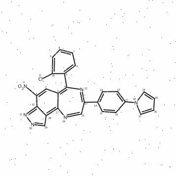 O=[N+]([O-])c1cc2c(-c3ccccc3Cl)nc(-c3ccc(-n4cccc4)cc3)cnc2c2cnnc12